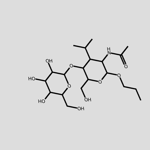 CCCOC1OC(CO)C(OC2OC(CO)C(O)C(O)C2O)C(C(C)C)C1NC(C)=O